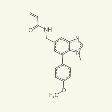 C=CC(=O)NCc1cc(-c2ccc(OC(F)(F)F)cc2)c2c(c1)ncn2C